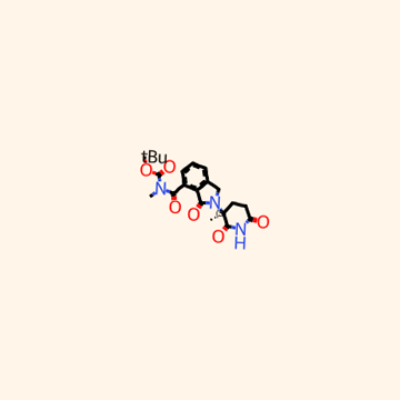 CN(C(=O)OC(C)(C)C)C(=O)c1cccc2c1C(=O)N([C@@]1(C)CCC(=O)NC1=O)C2